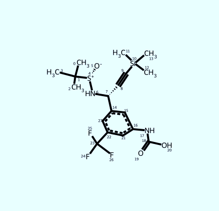 CC(C)(C)[S@+]([O-])N[C@H](C#C[Si](C)(C)C)c1cc(NC(=O)O)cc(C(F)(F)F)c1